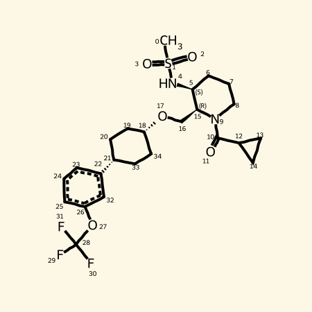 CS(=O)(=O)N[C@H]1CCCN(C(=O)C2CC2)[C@H]1CO[C@H]1CC[C@@H](c2cccc(OC(F)(F)F)c2)CC1